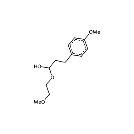 COCCOC(O)CCc1ccc(OC)cc1